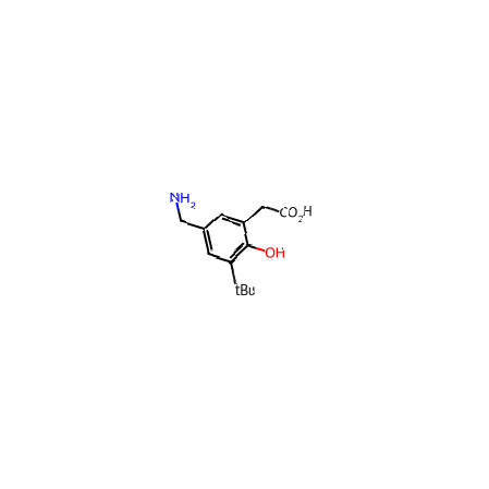 CC(C)(C)c1cc(CN)cc(CC(=O)O)c1O